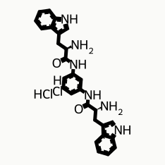 Cl.Cl.N[C@H](Cc1c[nH]c2ccccc12)C(=O)Nc1cccc(NC(=O)[C@H](N)Cc2c[nH]c3ccccc23)c1